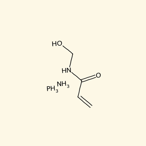 C=CC(=O)NCO.N.P